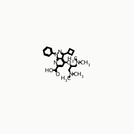 CN(C)CC(CN(C)C)Oc1cc(C(=O)O)nc2c1c(C1CCC1)nn2-c1ccccc1